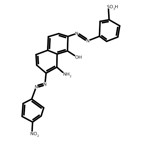 Nc1c(N=Nc2ccc([N+](=O)[O-])cc2)ccc2ccc(N=Nc3cccc(S(=O)(=O)O)c3)c(O)c12